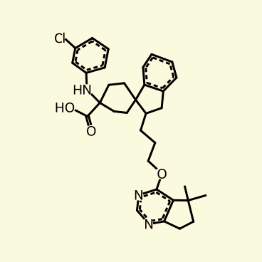 CC1(C)CCc2ncnc(OCCCC3Cc4ccccc4C34CCC(Nc3cccc(Cl)c3)(C(=O)O)CC4)c21